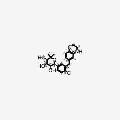 CC1(C)O[C@@H](c2ccc(Cl)c(Cc3ccc4c(c3)NCCO4)c2)[C@H](O)[C@@H](O)[C@@H]1O